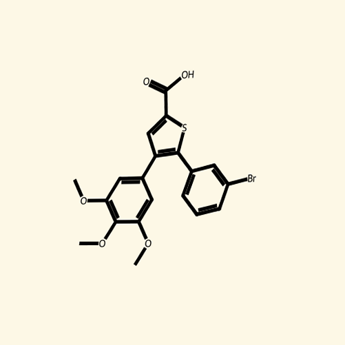 COc1cc(-c2cc(C(=O)O)sc2-c2cccc(Br)c2)cc(OC)c1OC